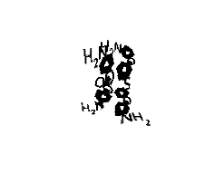 Nc1ccc(OC(=O)Oc2ccc(N)cc2)cc1.Nc1cccc(Oc2cccc(Sc3cccc(Oc4cccc(N)c4)c3)c2)c1